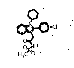 CS(=O)(=O)NC(=O)Cc1c(-c2ccc(Cl)cc2)n(C2CCCCC2)c2ccccc12